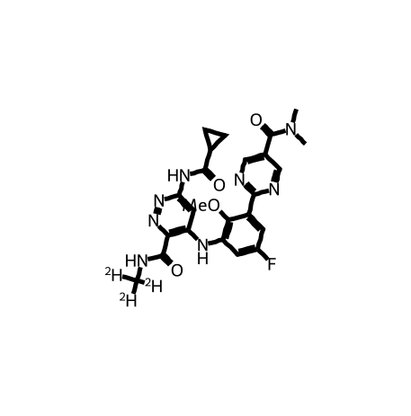 [2H]C([2H])([2H])NC(=O)c1nnc(NC(=O)C2CC2)cc1Nc1cc(F)cc(-c2ncc(C(=O)N(C)C)cn2)c1OC